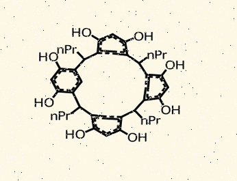 CCCC1c2cc(c(O)cc2O)C(CCC)c2cc(c(O)cc2O)C(CCC)c2cc(c(O)cc2O)C(CCC)c2cc1c(O)cc2O